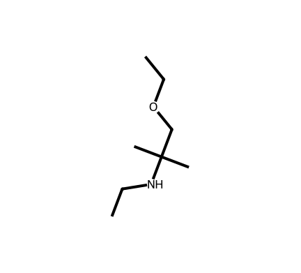 CCNC(C)(C)COCC